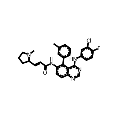 Cc1cccc(-c2c(NC(=O)C=CC3CCCN3C)ccc3ncnc(Nc4ccc(F)c(Cl)c4)c23)c1